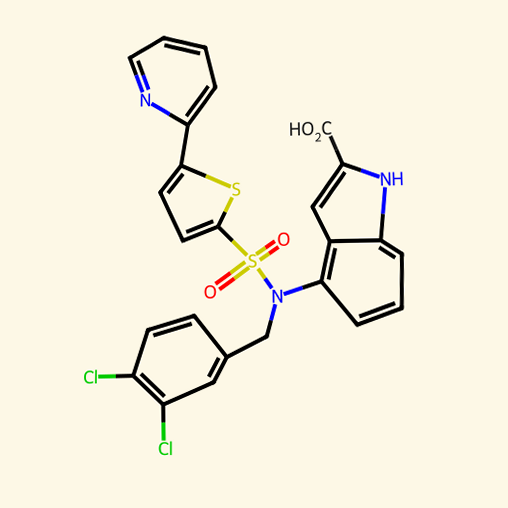 O=C(O)c1cc2c(N(Cc3ccc(Cl)c(Cl)c3)S(=O)(=O)c3ccc(-c4ccccn4)s3)cccc2[nH]1